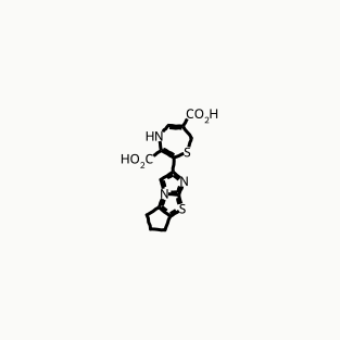 O=C(O)C1=CNC(C(=O)O)=C(c2cn3c4c(sc3n2)CCC4)SC1